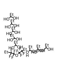 CCC(F)(F)C(F)(F)OC(F)(F)C(F)(F)CC.CCC(O)O.CCC(O)O.CCC(O)O.CCC(O)O.CCC(O)O.CCC(O)O.CCC(O)O.CCC(O)O